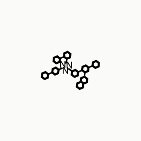 c1ccc(-c2ccc(-c3nc(-c4cccc(-c5ccc(-c6ccccc6)cc5-c5ccc6ccccc6c5)c4)nc(-c4ccccc4-c4ccccc4)n3)cc2)cc1